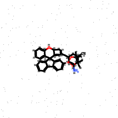 CC1(C)OB(c2ccc3c(c2)C2(C4=CC(C5C=C(N)C=C(C#N)C5)=CCC4Oc4ccccc42)c2ccccc2-3)OC1(C)C